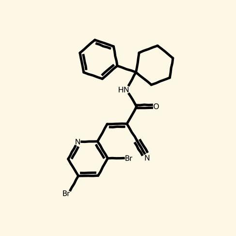 N#CC(=Cc1ncc(Br)cc1Br)C(=O)NC1(c2ccccc2)CCCCC1